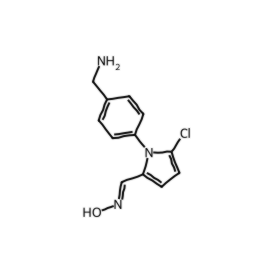 NCc1ccc(-n2c(Cl)ccc2C=NO)cc1